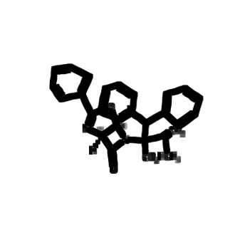 C=C(C)C(C(=O)O)(C(c1ccccc1)c1ccccc1)N1C(=O)[C@H]2N=C(c3ccccc3)O[C@H]21